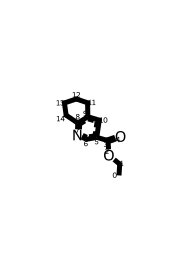 CCOC(=O)c1cnc2c(c1)CCCC2